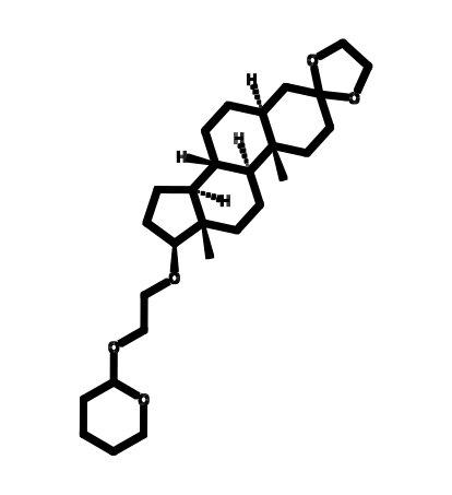 C[C@]12CCC3(C[C@@H]1CC[C@@H]1[C@@H]2CC[C@]2(C)[C@@H](OCCOC4CCCCO4)CC[C@@H]12)OCCO3